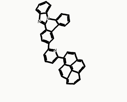 c1cc(-c2ccc3c(c2)c2ccccc2n2c4ccccc4nc32)nc(-c2ccc3ccc4cccc5ccc2c3c45)c1